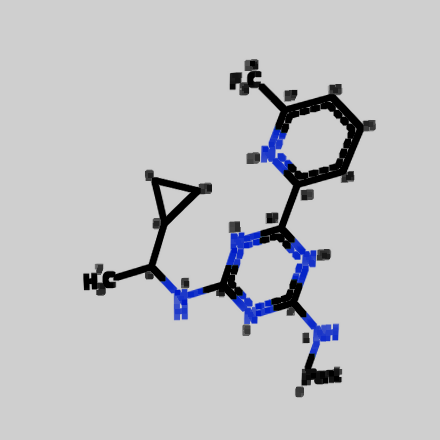 CCCC(C)Nc1nc(NC(C)C2CC2)nc(-c2cccc(C(F)(F)F)n2)n1